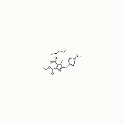 CCCCCC.CCOC(=O)c1nn(Cc2ccc(OC)cc2)c(C)c1[N+](=O)[O-]